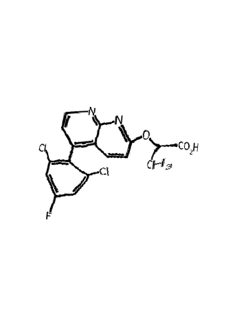 C[C@@H](Oc1ccc2c(-c3c(Cl)cc(F)cc3Cl)ccnc2n1)C(=O)O